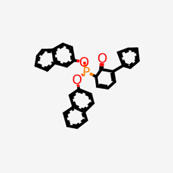 O=C1C(c2ccccc2)=CC=CC1P(Oc1ccc2ccccc2c1)Oc1ccc2ccccc2c1